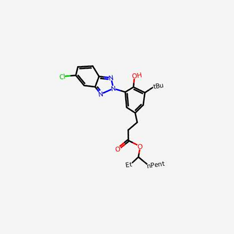 CCCCCC(CC)OC(=O)CCc1cc(-n2nc3ccc(Cl)cc3n2)c(O)c(C(C)(C)C)c1